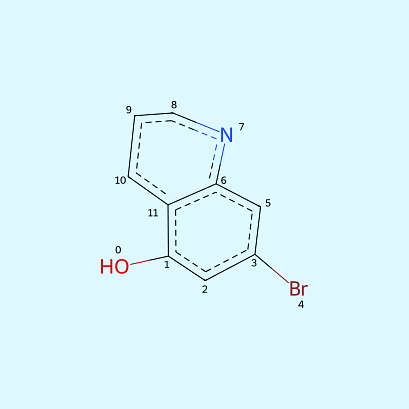 Oc1cc(Br)cc2ncccc12